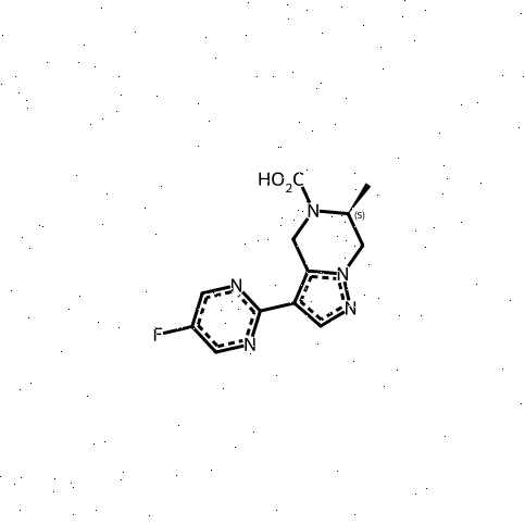 C[C@H]1Cn2ncc(-c3ncc(F)cn3)c2CN1C(=O)O